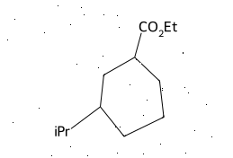 CCOC(=O)C1CCCC(C(C)C)C1